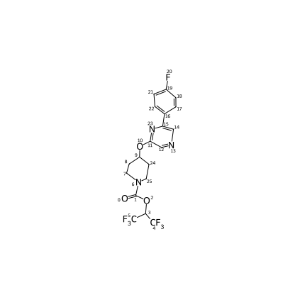 O=C(OC(C(F)(F)F)C(F)(F)F)N1CCC(Oc2cncc(-c3ccc(F)cc3)n2)CC1